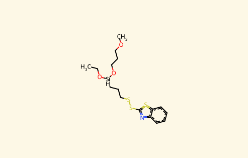 CCO[SiH](CCCSSc1nc2ccccc2s1)OCCCOC